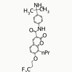 CCCc1c(OCCC(F)(F)F)ccc2cc(C(=O)Nc3ccc(C(C)(C)N)cc3)c(=O)oc12